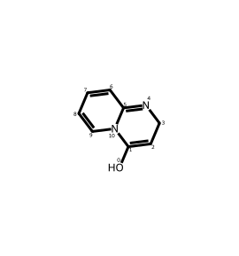 OC1=CCN=C2C=CC=CN12